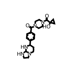 O=C(c1ccc(C2CCN3CCNC3N2)cc1)N1CCN(C(=O)C2(O)CC2)CC1